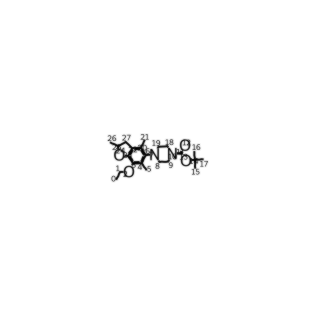 CCOc1c(C)c(N2CCN(C(=O)OC(C)(C)C)CC2)c(C)c2c1OC(C)C2